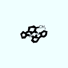 Cc1ccc2c3ccccc3n3c4cccc5c6ccccc6n(c1c23)c54